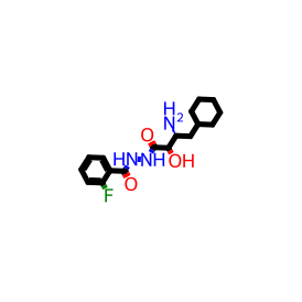 N[C@H](CC1CCCCC1)C(O)C(=O)NNC(=O)c1ccccc1F